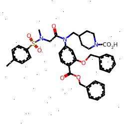 Cc1ccc(S(=O)(=O)N(C)CC(=O)N(CC2CCN(C(=O)O)CC2)c2ccc(C(=O)OCc3ccccc3)c(OCc3ccccc3)c2)cc1